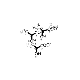 CC(O)C(=O)[O-].CC(O)C(=O)[O-].CC(O)C(=O)[O-].[Ga+3]